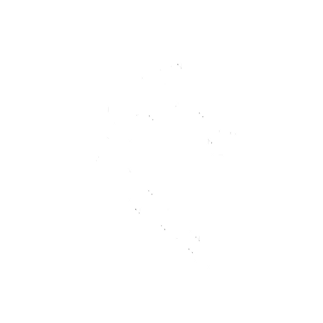 Cc1cc(F)c(C(=O)Nc2cc(CN3CCN(C)C(=O)C3)cc(C(C)(C)C#N)c2)cc1C#Cc1cnc2c(Nc3cnn(C)c3)cccn12